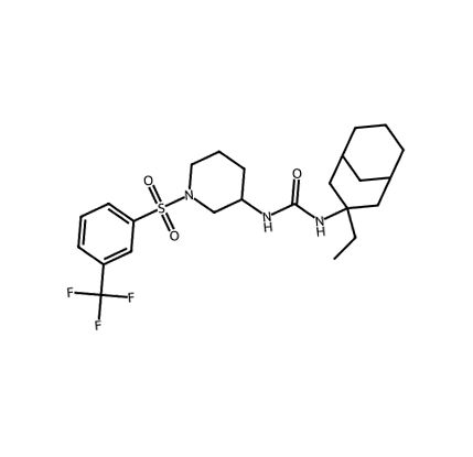 CCC1(NC(=O)NC2CCCN(S(=O)(=O)c3cccc(C(F)(F)F)c3)C2)CC2CCCC(C2)C1